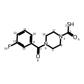 O=C(S)N1CCN(C(=O)c2cccc(F)c2)CC1